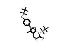 Cc1c(C[C@@H](C)C(=O)O[Si](C)(C)C(C)(C)C)cnn1-c1ccc(O[Si](C)(C)C(C)(C)C)cc1